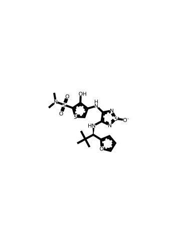 CN(C)S(=O)(=O)c1scc(Nc2n[s+]([O-])nc2N[C@@H](c2ccco2)C(C)(C)C)c1O